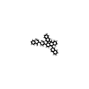 CC1c2ccccc2N=CC1C1CC=C(C2C=CC3=C(C4C=c5ccccc5=CC4)C4CC=CC=C4C(C)(c4ccc5ccccc5c4)C3C2)C=N1